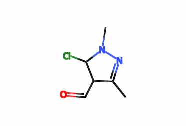 CC1=NN(C)C(Cl)C1C=O